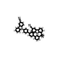 N#Cc1ccc2c(c1)c1ccccc1n2-c1ccc(-c2ccc(-c3cccc(C#N)c3-n3c4ccc(C#N)cc4c4cccc(C#N)c43)cc2)cc1